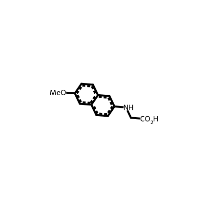 COc1ccc2cc(NCC(=O)O)ccc2c1